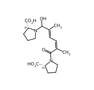 CC(=CC=C(C)C(O)N1CCC[C@@H]1C(=O)O)C(=O)N1CCC[C@@H]1C(=O)O